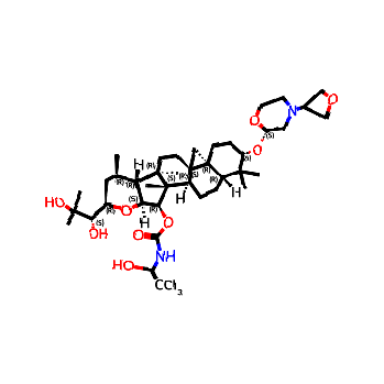 C[C@@H]1C[C@H]([C@H](O)C(C)(C)O)O[C@H]2[C@H]1[C@@]1(C)CC[C@@]34C[C@@]35CC[C@H](O[C@H]3CN(C6COC6)CCO3)C(C)(C)[C@@H]5CC[C@H]4[C@]1(C)[C@H]2OC(=O)NC(O)C(Cl)(Cl)Cl